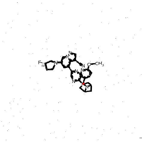 COc1ccc(CN2C3CC2CN(c2cnc(-c4cc(N5CC[C@H](F)C5)cn5ncc(C#N)c45)cn2)C3)cn1